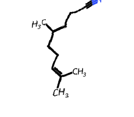 CC(C)=CCCC(C)CCC#N